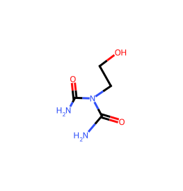 NC(=O)N(CCO)C(N)=O